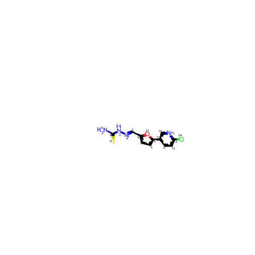 NC(=S)N/N=C/c1ccc(-c2ccc(Cl)nc2)o1